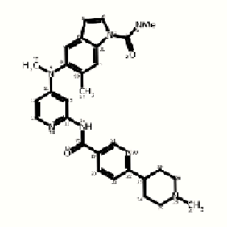 CNC(=O)n1ccc2cc(N(C)c3ccnc(NC(=O)c4ccc(C5CCN(C)CC5)nc4)c3)c(C)cc21